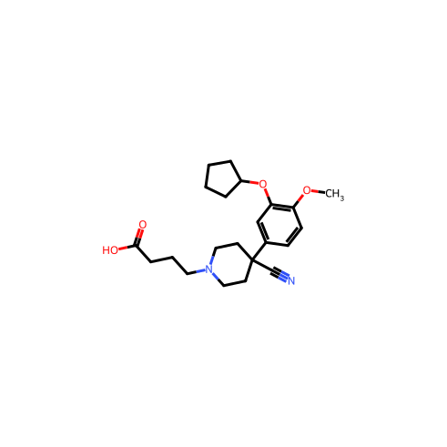 COc1ccc(C2(C#N)CCN(CCCC(=O)O)CC2)cc1OC1CCCC1